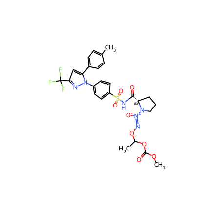 COC(=O)OC(C)ON=[N+]([O-])N1CCC[C@H]1C(=O)NS(=O)(=O)c1ccc(-n2nc(C(F)(F)F)cc2-c2ccc(C)cc2)cc1